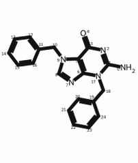 Nc1nc(=O)c2c(ncn2Cc2ccccc2)n1Cc1ccccc1